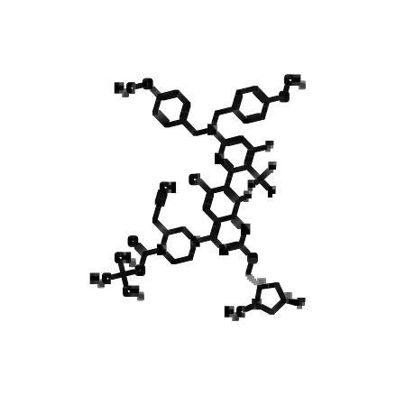 C#CCC1CN(c2nc(OC[C@@H]3C[C@@H](F)CN3C)nc3c(F)c(-c4nc(N(Cc5ccc(OC)cc5)Cc5ccc(OC)cc5)cc(F)c4C(F)(F)F)c(Cl)cc23)CCN1C(=O)OC(C)(C)C